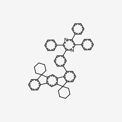 c1ccc(-c2nc(-c3ccccc3)c(-c3cccc(-c4cccc5c4-c4cc6c(cc4C54CCCCC4)-c4ccccc4C64CCCCC4)c3)nc2-c2ccccc2)cc1